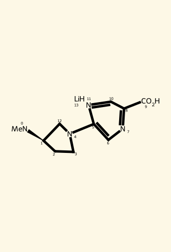 CN[C@@H]1CCN(c2cnc(C(=O)O)cn2)C1.[LiH]